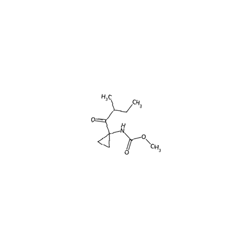 CCC(C)C(=O)C1(NC(=O)OC)CC1